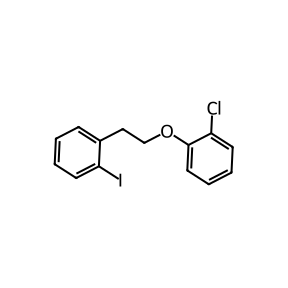 Clc1ccccc1OCCc1ccccc1I